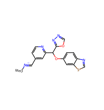 CO/N=C/c1ccnc(C(Oc2ccc3ncsc3c2)c2nnco2)c1